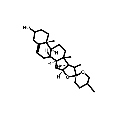 CC1CC[C@@]2(OC1)O[C@H]1C[C@H]3[C@@H]4CC=C5CC(O)CC[C@]5(C)[C@H]4CC[C@]3(C)[C@H]1C2C